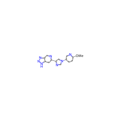 COc1ccc(-n2cnc(-c3cc4[nH]nnc4cn3)c2)cn1